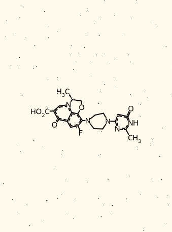 Cc1nc(N2CCN(c3c(F)cc4c(=O)c(C(=O)O)cn5c4c3OC[C@@H]5C)CC2)cc(=O)[nH]1